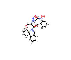 Cc1ccc(CN2C(=O)C(N[C@@H](CC3CCCCC3)C(=O)NO)COc3ccccc32)cc1